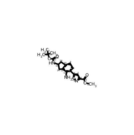 COC(=O)c1cc(-c2ccc3c(c2N)CC(NC(=O)OC(C)(C)C)C3)sn1